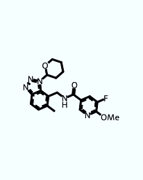 COc1ncc(C(=O)NCc2c(C)ccc3nnn(C4CCCCO4)c23)cc1F